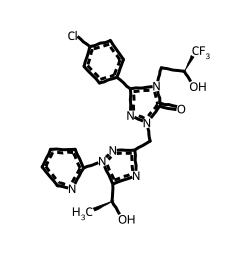 C[C@H](O)c1nc(Cn2nc(-c3ccc(Cl)cc3)n(C[C@H](O)C(F)(F)F)c2=O)nn1-c1ccccn1